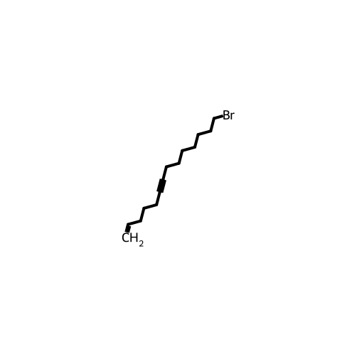 C=CCCCC#CCCCCCCCBr